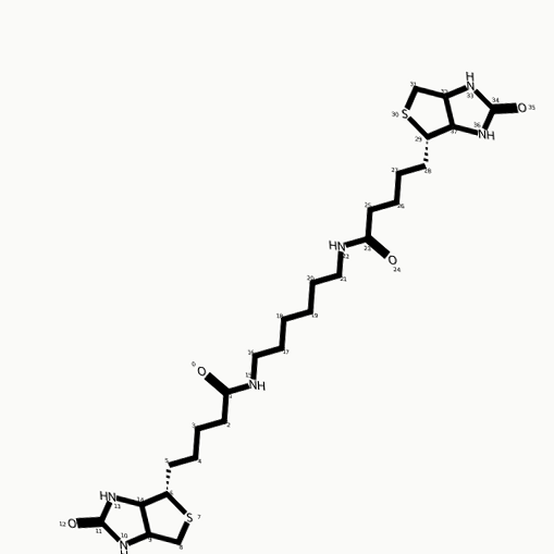 O=C(CCCC[C@@H]1SCC2NC(=O)NC21)NCCCCCCNC(=O)CCCC[C@@H]1SCC2NC(=O)NC21